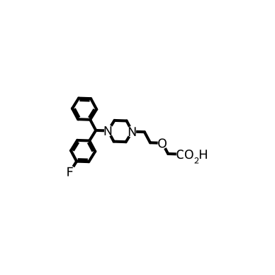 O=C(O)COCCN1CCN(C(c2ccccc2)c2ccc(F)cc2)CC1